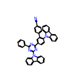 N#Cc1ccc(-c2cc(-c3nc(-c4ccccc4)nc(-n4c5ccccc5c5ccccc54)n3)ccc2-n2c3ccccc3c3ccccc32)cc1